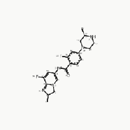 CC1CN2C=C(NC(=O)c3ccc(N4CCN[C@H](C)C4)cc3F)C=C(F)C2=N1